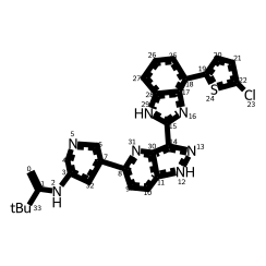 C=C(Nc1cncc(-c2ccc3[nH]nc(-c4nc5c(-c6ccc(Cl)s6)cccc5[nH]4)c3n2)c1)C(C)(C)C